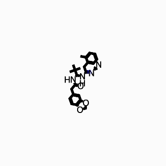 Cc1ccccc1C/C(=N\C#N)NC(NC(=O)Cc1ccc2c(c1)OCO2)C(C)(C)C